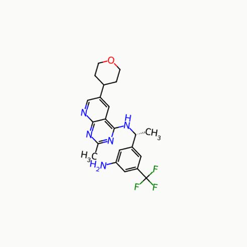 Cc1nc(N[C@H](C)c2cc(N)cc(C(F)(F)F)c2)c2cc(C3CCOCC3)cnc2n1